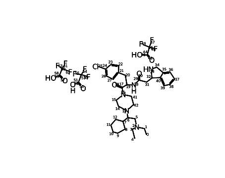 CCN(CC)CC(C1CCCCC1)N1CCN(C(=O)C(Cc2ccc(Cl)cc2)NC(=O)CC2NCc3ccccc32)CC1.O=C(O)C(F)(F)F.O=C(O)C(F)(F)F.O=C(O)C(F)(F)F